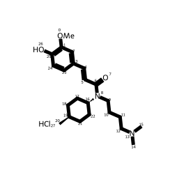 COc1cc(C=CC(=O)N(CCCCN(C)C)[C@H]2CC[C@H](C)CC2)ccc1O.Cl